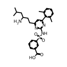 Cc1cccc(C)c1-c1cc(CCC(N)CC(C)C)nc(NS(=O)(=O)c2cccc(C(=O)O)c2)n1